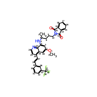 COc1cc(NC(C)CCCN2C(=O)c3ccccc3C2=O)c2nccc(C=Cc3cccc(C(F)(F)F)c3)c2c1